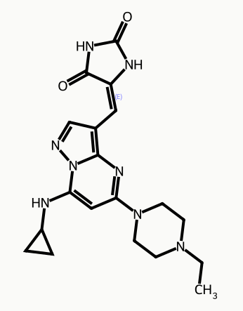 CCN1CCN(c2cc(NC3CC3)n3ncc(/C=C4/NC(=O)NC4=O)c3n2)CC1